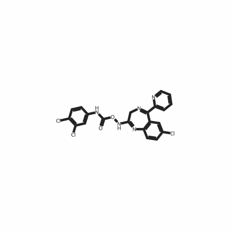 O=C(Nc1ccc(Cl)c(Cl)c1)ONC1=Nc2ccc(Cl)cc2C(c2ccccn2)=NC1